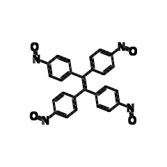 O=Nc1ccc(C(=C(c2ccc(N=O)cc2)c2ccc(N=O)cc2)c2ccc(N=O)cc2)cc1